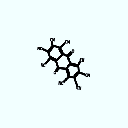 N#Cc1c(C#N)c(C#N)c2c(c1C#N)C(=O)c1c(C#N)c(C#N)c(C#N)c(C#N)c1C2=O